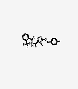 CC(NC(=O)c1ccccc1C(F)(F)F)c1nnc(SCc2ccc(F)cc2)n1C